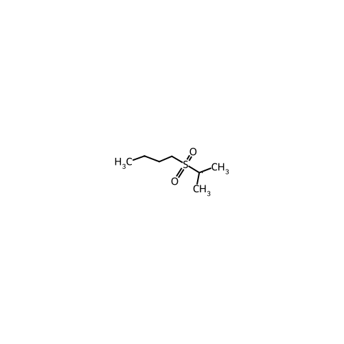 CCCCS(=O)(=O)[C](C)C